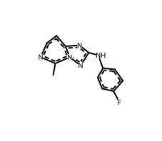 Cc1nccc2nc(Nc3ccc(F)cc3)nn12